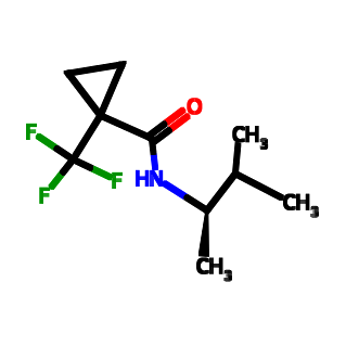 CC(C)[C@@H](C)NC(=O)C1(C(F)(F)F)CC1